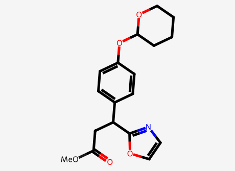 COC(=O)CC(c1ccc(OC2CCCCO2)cc1)c1ncco1